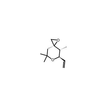 C=C[C@H]1OC(C)(C)C[C@@]2(CO2)[C@@H]1C